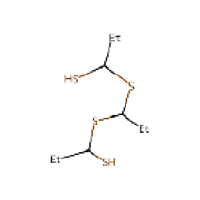 CCC(S)SC(CC)SC(S)CC